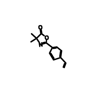 C=Cc1ccc(C2=NC(C)(C)C(=O)O2)cc1